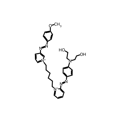 COc1ccc(/N=N/c2ccc[n+](CCCCCC[n+]3ccccc3/N=N/c3ccc(N(CCO)CCO)cc3)c2)cc1